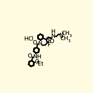 CCOc1ccccc1C(=O)Nc1ccc(C(=O)N2CCC(F)(F)/C(=C\C(=O)NCCN(C)C)c3ccccc32)cc1.Cl